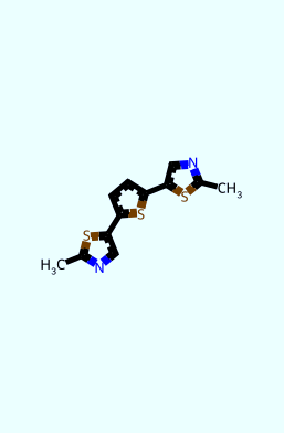 Cc1ncc(-c2ccc(-c3cnc(C)s3)s2)s1